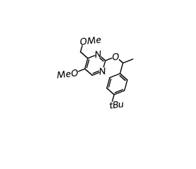 COCc1nc(OC(C)c2ccc(C(C)(C)C)cc2)ncc1OC